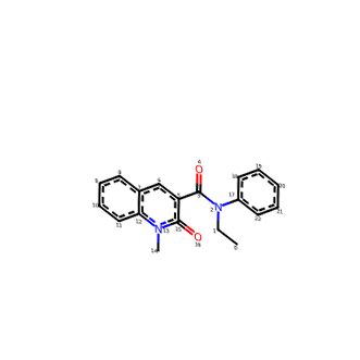 CCN(C(=O)c1[c]c2[c]cccc2n(C)c1=O)c1ccccc1